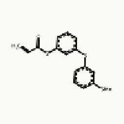 C=CC(=O)Sc1cccc(Sc2cccc(SC)c2)c1